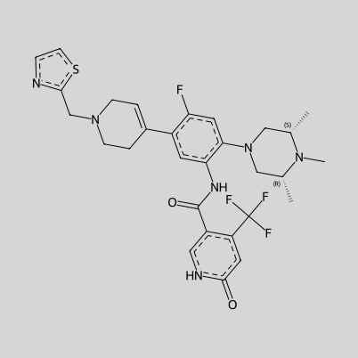 C[C@@H]1CN(c2cc(F)c(C3=CCN(Cc4nccs4)CC3)cc2NC(=O)c2c[nH]c(=O)cc2C(F)(F)F)C[C@H](C)N1C